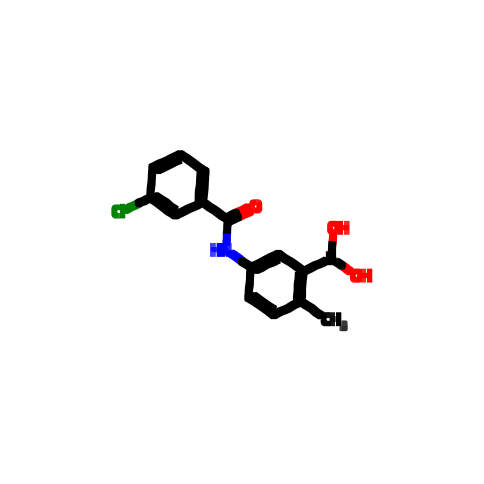 Cc1ccc(NC(=O)c2cccc(Cl)c2)cc1B(O)O